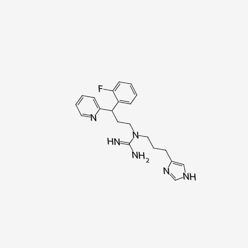 N=C(N)N(CCCc1c[nH]cn1)CCC(c1ccccn1)c1ccccc1F